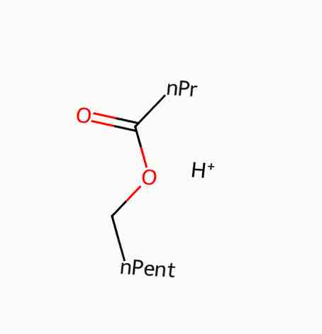 CCCCCCOC(=O)CCC.[H+]